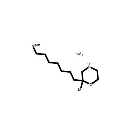 CCCCCCCCCCCCCCCCC1(CC)CNCCO1.N